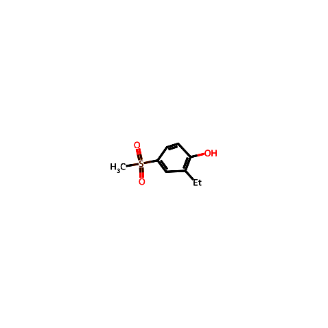 CCc1cc(S(C)(=O)=O)ccc1O